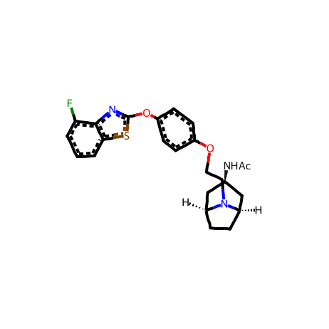 CC(=O)N[C@H]1C[C@H]2CC[C@@H](C1)N2CCOc1ccc(Oc2nc3c(F)cccc3s2)cc1